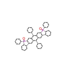 O=P1(c2ccccc2)c2ccccc2-c2cc3c(-c4ccccc4)c4cc5c(cc4c(-c4ccccc4)c3cc21)P(=O)(c1ccccc1)c1ccccc1-5